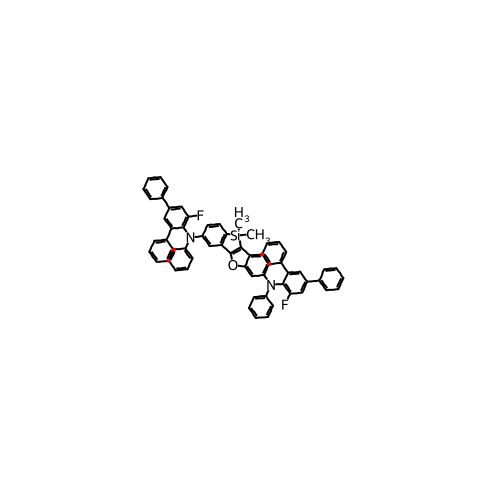 C[Si]1(C)c2ccc(N(c3ccccc3)c3c(F)cc(-c4ccccc4)cc3-c3ccccc3)cc2-c2oc3cc(N(c4ccccc4)c4c(F)cc(-c5ccccc5)cc4-c4ccccc4)ccc3c21